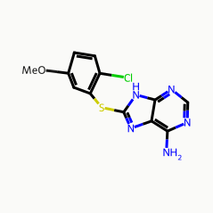 COc1ccc(Cl)c(Sc2nc3c(N)ncnc3[nH]2)c1